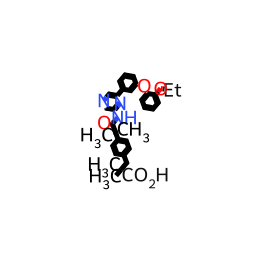 CCOc1ccccc1Oc1cccc(-c2cncc(NC(=O)C(C)(C)c3ccc(CC(C)(C)C(=O)O)cc3)n2)c1